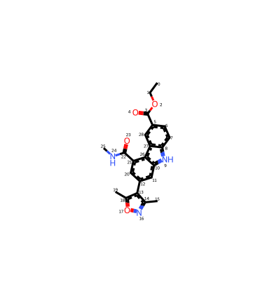 CCOC(=O)c1ccc2[nH]c3cc(-c4c(C)noc4C)cc(C(=O)NC)c3c2c1